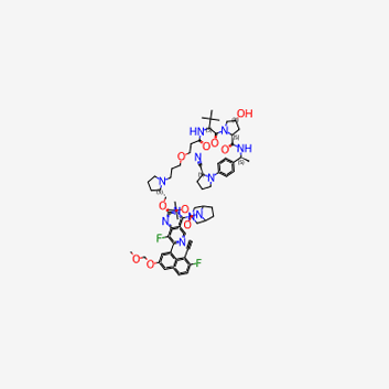 C#Cc1c(F)ccc2cc(OCOC)cc(-c3ncc4c(N5CC6CCC(C5)N6C(=O)OC(C)(C)C)nc(OC[C@@H]5CCCN5CCCOCCC(=O)N[C@H](C(=O)N5C[C@H](O)C[C@H]5C(=O)N[C@@H](C)c5ccc(N6CCC[C@H]6C#N)cc5)C(C)(C)C)nc4c3F)c12